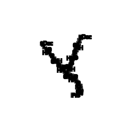 CCCCCCCCCCCCCCCC(=O)NCCOCCC(=O)NCCOCCC(=O)NCCN(CCNC(=O)CCOCCNC(=O)CCOCCNC(=O)CCCCCCCCCCCCCCC)C(=O)c1ccc(C(=O)NCCOc2ccc(-c3nnc(SC(C)C)o3)cc2)cc1